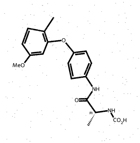 COc1ccc(C)c(Oc2ccc(NC(=O)[C@@H](C)NC(=O)O)cc2)c1